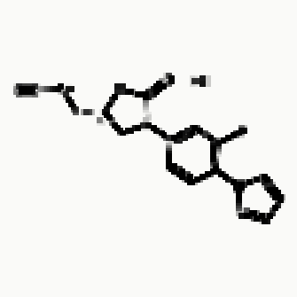 Cl.O=CNC[C@H]1CN(c2ccc(-n3cccn3)c(F)c2)C(=O)O1